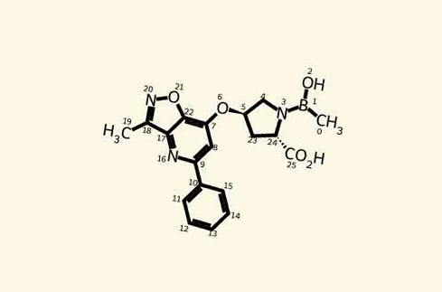 CB(O)N1C[C@H](Oc2cc(-c3ccccc3)nc3c(C)noc23)C[C@H]1C(=O)O